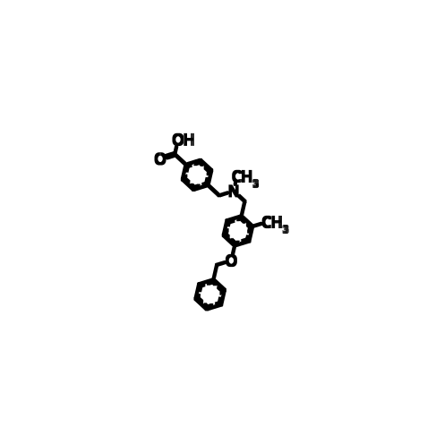 Cc1cc(OCc2ccccc2)ccc1CN(C)Cc1ccc(C(=O)O)cc1